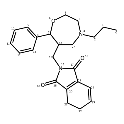 CCCN1CCOC(c2ccccc2)C(CN2C(=O)C3=C(CCC=C3)C2=O)C1